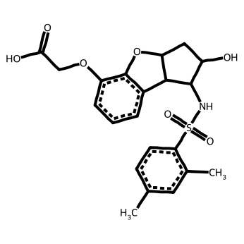 Cc1ccc(S(=O)(=O)NC2C(O)CC3Oc4c(OCC(=O)O)cccc4C32)c(C)c1